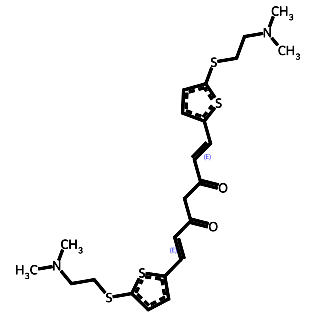 CN(C)CCSc1ccc(/C=C/C(=O)CC(=O)/C=C/c2ccc(SCCN(C)C)s2)s1